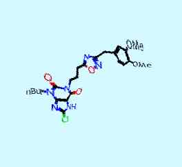 CCCCn1c(=O)n(CCCc2nc(Cc3ccc(OC)c(OC)c3)no2)c(=O)c2[nH]c(Cl)nc21